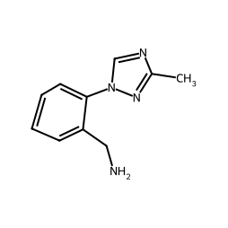 Cc1ncn(-c2ccccc2CN)n1